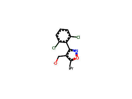 CC(C)c1onc(-c2c(Cl)cccc2Cl)c1C[O]